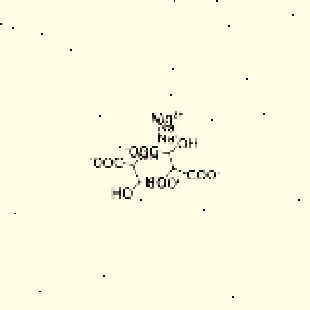 O=C([O-])C(O)C(O)C(=O)[O-].O=C([O-])C(O)C(O)C(=O)[O-].[Mg+2].[Na+].[Na+]